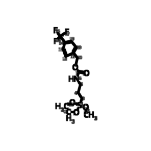 CO[Si](CCCNC(=O)OCc1ccc(C(F)(F)F)cc1)(OC)OC